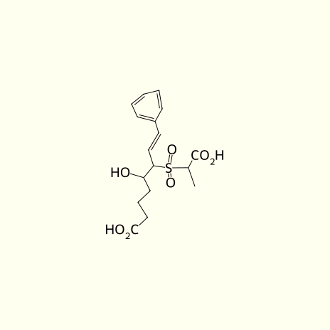 CC(C(=O)O)S(=O)(=O)C(C=Cc1ccccc1)C(O)CCCC(=O)O